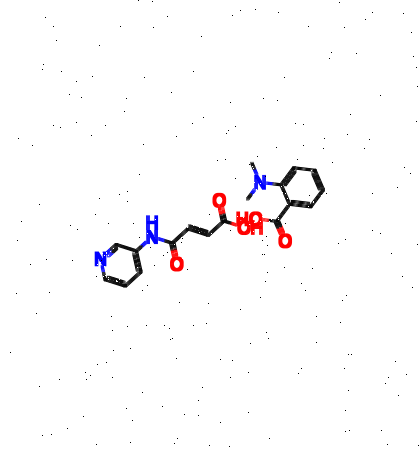 CN(C)c1ccccc1C(=O)O.O=C(O)C=CC(=O)Nc1cccnc1